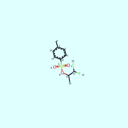 Cc1ccc(S(=O)(=O)OC(C)C(F)F)cc1